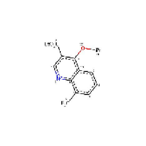 CCOC(=O)c1cnc2c(C(F)(F)F)cccc2c1OC(C)C